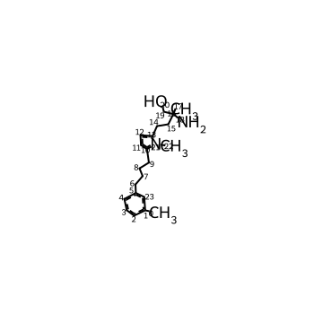 Cc1cccc(CCCCc2ccc(CCC(C)(N)CO)n2C)c1